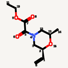 C=C[C@H]1CN(C(=O)C(=O)OCC)C[C@@H](C)O1